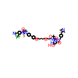 Cc1ncsc1-c1ccc(CNC(=O)[C@@H]2C[C@@H](O)CN2C(=O)[C@@H](NC(=O)CCOCCCCCOc2ccc(-c3ccc(N4C(=S)N(c5ccc(C#N)c(C(F)(F)F)c5)C(=O)C4(C)C)cc3)cc2)C(C)(C)C)cc1